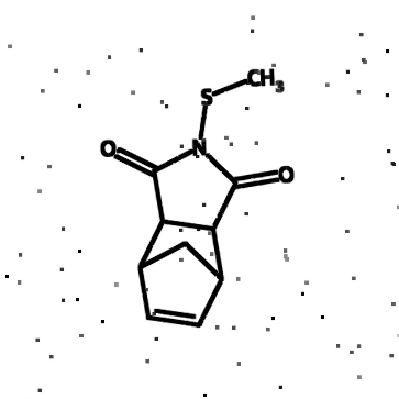 CSN1C(=O)C2C3C=CC(C3)C2C1=O